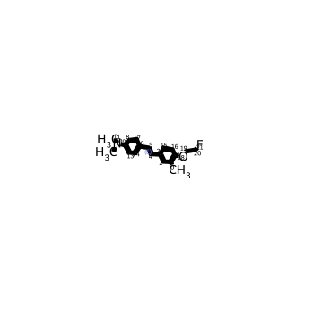 Cc1cc(/C=C/c2ccc(N(C)C)cc2)ccc1OCCF